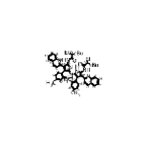 CCCCC(CC)C(=O)NC1=N/C(=N\c2[nH]c(NC(=O)C(CC)CCCC)c(-c3ccc4ccccc4n3)c2-c2ccc(C)cc2C)C(c2ccc(C)cc2C)=C1c1ccc2ccccc2n1